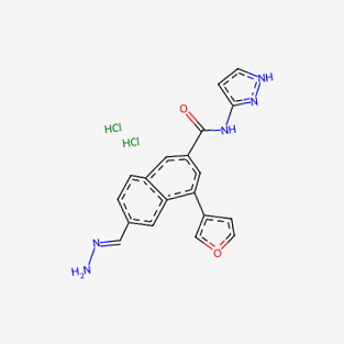 Cl.Cl.NN=Cc1ccc2cc(C(=O)Nc3cc[nH]n3)cc(-c3ccoc3)c2c1